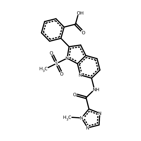 Cn1ncnc1C(=O)Nc1ccc2cc(-c3ccccc3C(=O)O)n(S(C)(=O)=O)c2n1